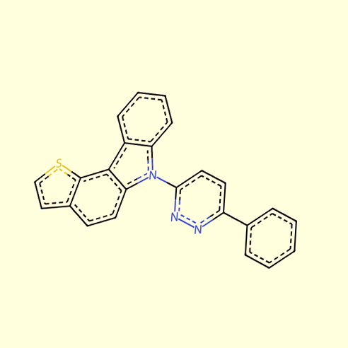 c1ccc(-c2ccc(-n3c4ccccc4c4c5sccc5ccc43)nn2)cc1